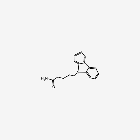 NC(=O)CCCCn1c2ccccc2c2ccccc21